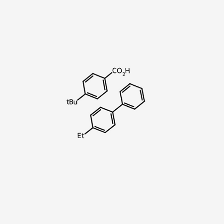 CC(C)(C)c1ccc(C(=O)O)cc1.CCc1ccc(-c2ccccc2)cc1